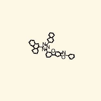 c1ccc(-c2nc3cc4oc5c(-c6nc(-c7ccc8ccccc8c7)nc(-c7cc8ccccc8c8ccccc78)n6)cccc5c4cc3o2)cc1